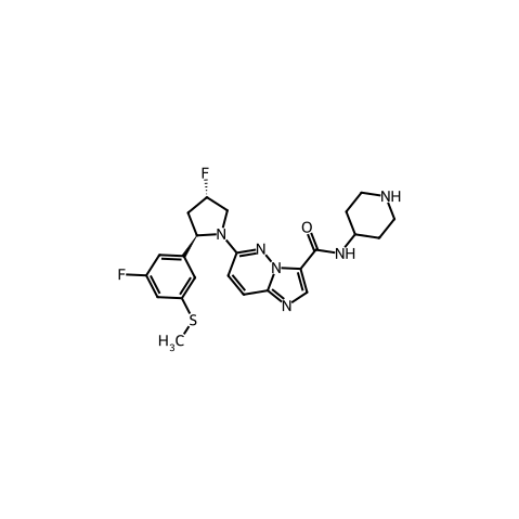 CSc1cc(F)cc([C@H]2C[C@H](F)CN2c2ccc3ncc(C(=O)NC4CCNCC4)n3n2)c1